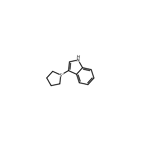 c1ccc2c([S+]3CCCC3)c[nH]c2c1